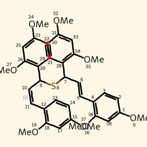 COc1ccc(C=CC(SC(/C=C\c2ccc(OC)cc2OC)c2ccc(OC)cc2OC)c2ccc(OC)cc2OC)c(OC)c1